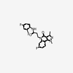 Cc1nn(C)c2c1c(=O)n(CCC(=O)Nc1ccc(F)cc1F)c1cc(F)ccc21